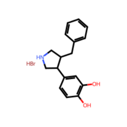 Br.Oc1ccc(C2CNCC2Cc2ccccc2)cc1O